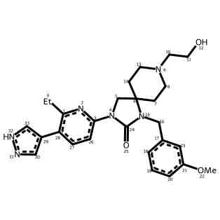 CCc1nc(N2CC3(CCN(CCO)CC3)N(Cc3cccc(OC)c3)C2=O)ccc1-c1cn[nH]c1